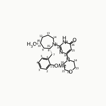 COc1ccccc1C[C@@H]1C[C@H](C)CCCN1c1nc(N2CCOCC2)cc(=O)[nH]1